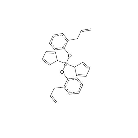 C=CCc1ccccc1[O][Zr]([O]c1ccccc1CC=C)([CH]1C=CC=C1)[CH]1C=CC=C1